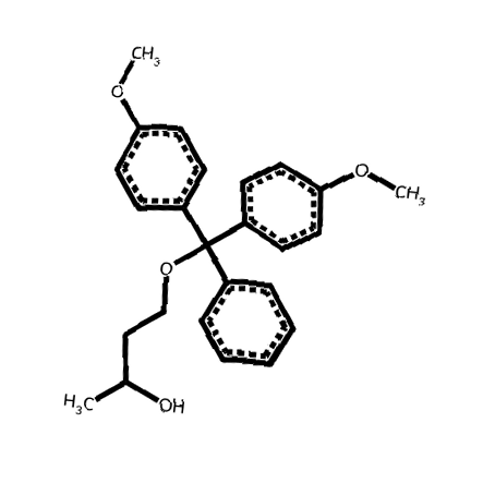 COc1ccc(C(OCCC(C)O)(c2ccccc2)c2ccc(OC)cc2)cc1